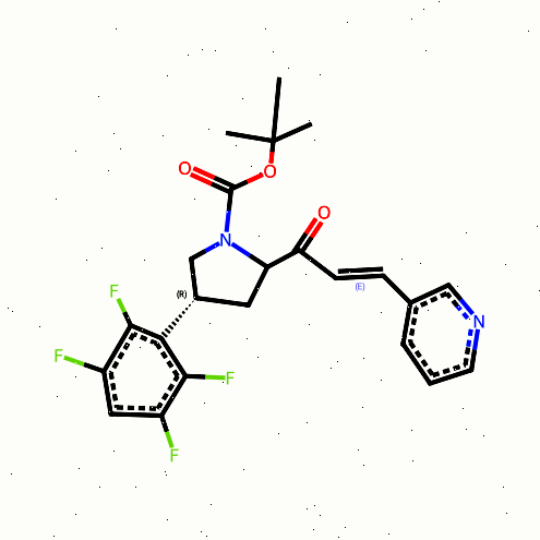 CC(C)(C)OC(=O)N1C[C@@H](c2c(F)c(F)cc(F)c2F)CC1C(=O)/C=C/c1cccnc1